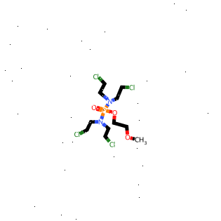 COCCOP(=O)(N(CCCl)CCCl)N(CCCl)CCCl